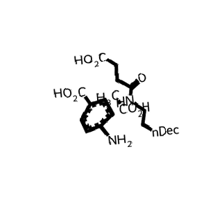 CC(=O)O.CCCCCCCCCCCCNC(=O)CCC(=O)O.Nc1ccc(C(=O)O)cc1